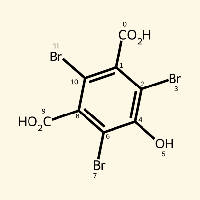 O=C(O)c1c(Br)c(O)c(Br)c(C(=O)O)c1Br